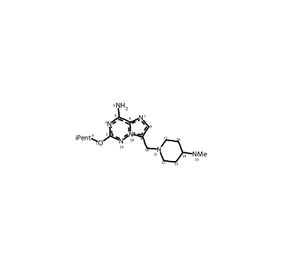 CCCC(C)Oc1nc(N)c2ncc(CN3CCC(NC)CC3)n2n1